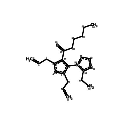 C=CCc1nn(CC=C)c(-n2ccnc2CN)c1C(=O)CCCCC